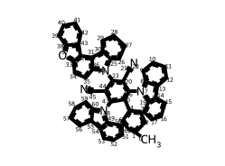 Cc1ccc(-c2c(-n3c4ccccc4c4ccccc43)c(C#N)c(-n3c4ccccc4c4c5c(ccc43)oc3ccccc35)c(C#N)c2-n2c3ccccc3c3ccccc32)cc1